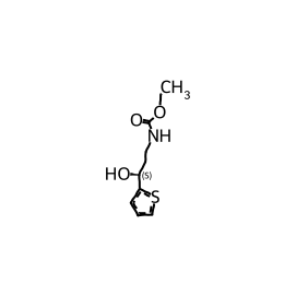 CCOC(=O)NCC[C@H](O)c1cccs1